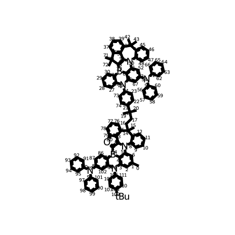 Cc1cc2c3c(c1)N1c4ccccc4C(C)(CCC(C)(C)c4ccc(N5c6ccccc6B6C7=C8c9c(cccc9C(C)(C)c9ccccc9N8c8cc(N(c9ccccc9)c9ccccc9)cc5c86)C7(C)C)cc4)c4cccc5oc(c1c45)B3c1ccc(N(c3ccccc3)c3ccccc3)cc1N2c1ccc(C(C)(C)C)cc1